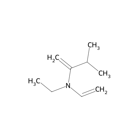 C=CN(CC)C(=C)C(C)C